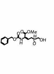 COC(=O)C(=CC[PH](=O)CO)NC(=O)OCc1ccccc1